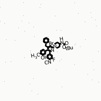 Cc1ccc(-c2c(-c3ccc(C#N)c(F)c3)nc(N3CCC(NC(=O)OC(C)(C)C)CC3)c(Br)c2Cc2ccccc2)cc1O